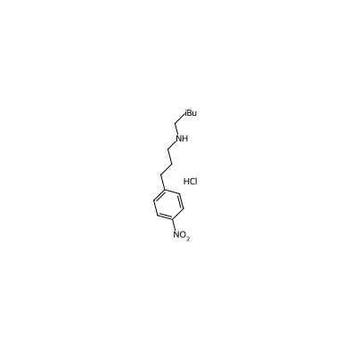 CCC(C)CNCCCc1ccc([N+](=O)[O-])cc1.Cl